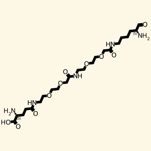 N[C@H](C=O)CCCCNC(=O)COCCOCCNC(=O)COCCOCCNC(=O)CC[C@H](N)C(=O)O